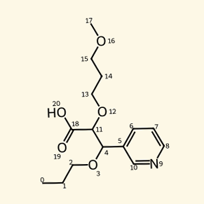 CCCOC(c1cccnc1)C(OCCCOC)C(=O)O